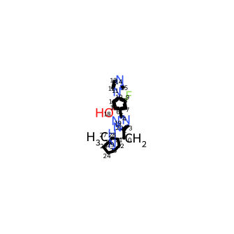 C=C(c1cnc(-c2cc(F)c(-n3ccnc3)cc2O)nn1)[C@@H]1CC2CC[C@@](C)(C1)N2